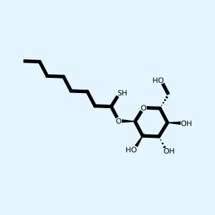 CCCCCCCC(S)O[C@H]1O[C@H](CO)[C@@H](O)[C@H](O)[C@H]1O